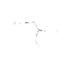 CCCCCCC(SCC)C(=O)O